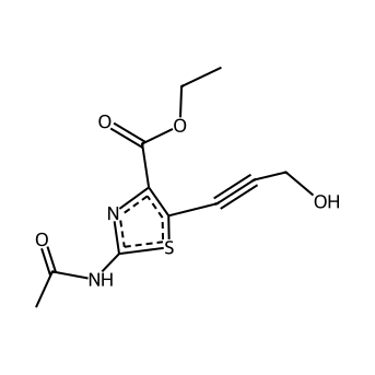 CCOC(=O)c1nc(NC(C)=O)sc1C#CCO